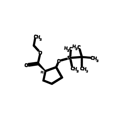 CCOC(=O)[C@@H]1CCCC1O[Si](C)(C)C(C)(C)C